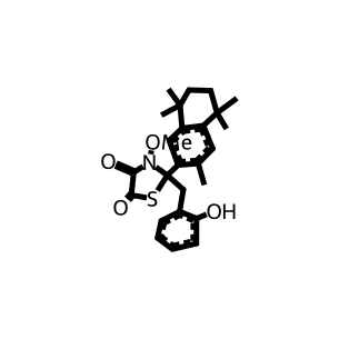 CON1C(=O)C(=O)SC1(Cc1ccccc1O)c1cc2c(cc1C)C(C)(C)CCC2(C)C